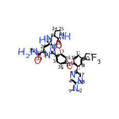 CN(C)c1cnc(-c2cc(C(F)(F)F)ccc2Oc2ccc(-c3nc(N[C@H]4CCNC4=O)cc(C(N)=O)n3)cc2)cn1